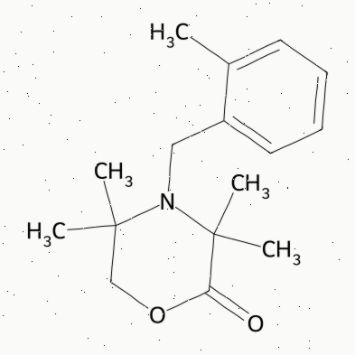 Cc1ccccc1CN1C(C)(C)COC(=O)C1(C)C